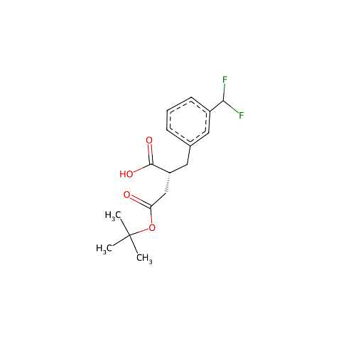 CC(C)(C)OC(=O)C[C@@H](Cc1cccc(C(F)F)c1)C(=O)O